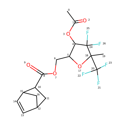 CC(=O)OC1C(COC(=O)C2CC3C=CC2C3)OC(C)(C(F)(F)F)C1(F)F